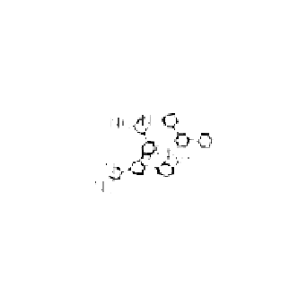 N#Cc1cncc(-c2ccc3c(c2)c2cc(-c4cncc(C#N)c4)ccc2n3-c2cccc3c2C(=O)N(c2cc(-c4ccccc4)cc(-c4ccccc4)c2)C3O)c1